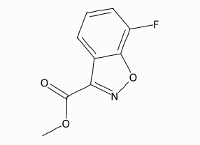 COC(=O)c1noc2c(F)cccc12